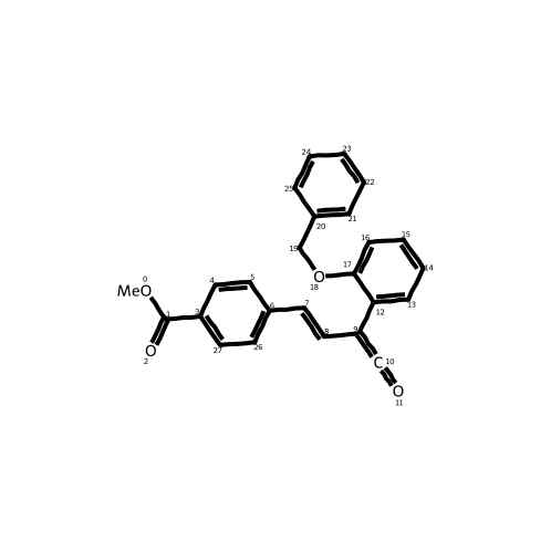 COC(=O)c1ccc(C=CC(=C=O)c2ccccc2OCc2ccccc2)cc1